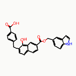 O=C(O)c1ccc(Cc2ccc3ccc(C(=O)OCc4ccc5[nH]ccc5c4)cc3c2O)cc1